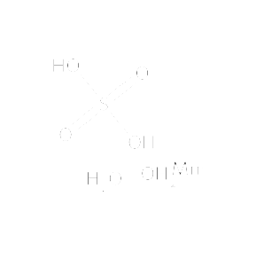 O.O.O=S(=O)(O)O.[Mn]